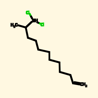 C=CCCCCCCCCC(C)[SiH](Cl)Cl